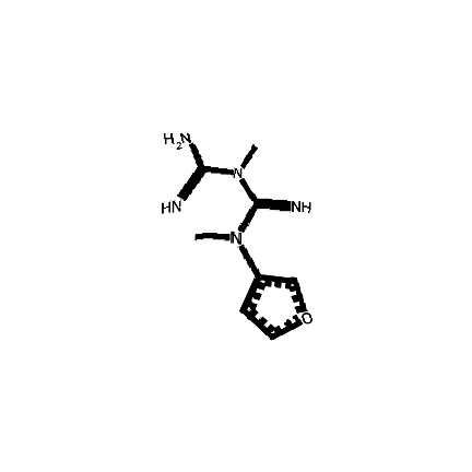 CN(C(=N)N)C(=N)N(C)c1ccoc1